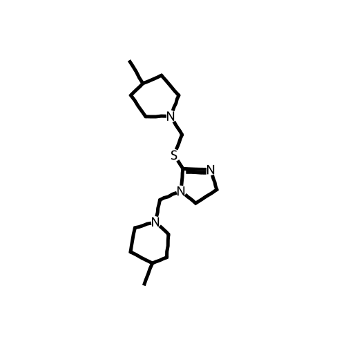 CC1CCN(CSC2=NCCN2CN2CCC(C)CC2)CC1